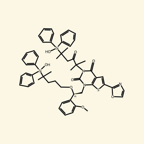 COc1ccccc1[C@H](Cn1c(=O)n(C(C)(C)C(=O)CC(C)(C)[Si](O)(c2ccccc2)c2ccccc2)c(=O)c2cc(-c3ncco3)sc21)OCCCC(C)(C)[Si](O)(c1ccccc1)c1ccccc1